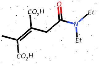 CCN(CC)C(=O)C/C(C(=O)O)=C(/C)C(=O)O